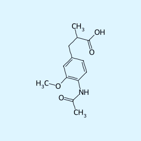 COc1cc(CC(C)C(=O)O)ccc1NC(C)=O